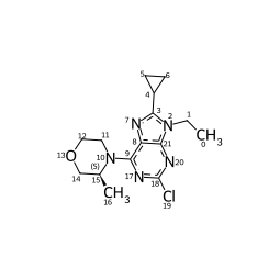 CCn1c(C2CC2)nc2c(N3CCOC[C@@H]3C)nc(Cl)nc21